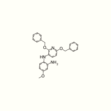 COc1ccc(Nc2ccc(OCc3ccccc3)nc2OCc2ccccc2)c(N)c1